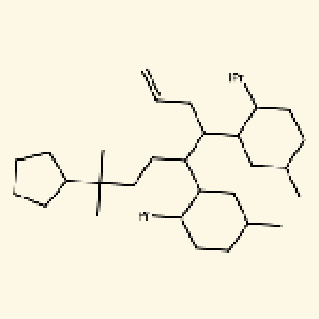 C=CCC(C1CC(C)CCC1C(C)C)C(CCC(C)(C)C1CCCC1)C1CC(C)CCC1C(C)C